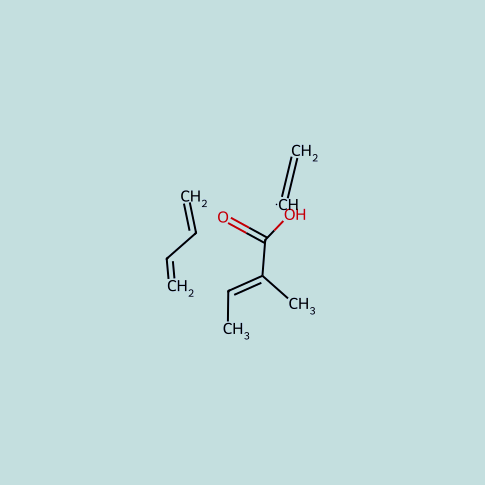 C/C=C(\C)C(=O)O.C=CC=C.[CH]=C